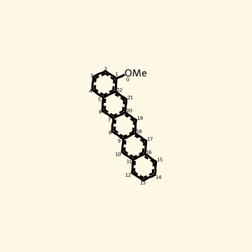 COc1cccc2cc3cc4cc5ccccc5cc4cc3cc12